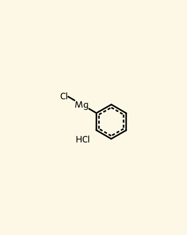 Cl.[Cl][Mg][c]1ccccc1